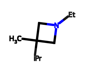 CCN1CC(C)(C(C)C)C1